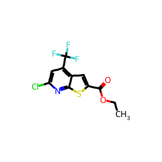 CCOC(=O)c1cc2c(C(F)(F)F)cc(Cl)nc2s1